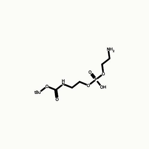 CC(C)(C)OC(=O)NCCOP(=O)(O)OCCN